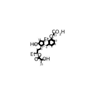 CC[C@@H](CC[C@@H]1[C@@H](Cc2cccc(OCC(=O)O)c2)[C@@H](CC)C[C@H]1O)OC(=O)[C@H](C)O